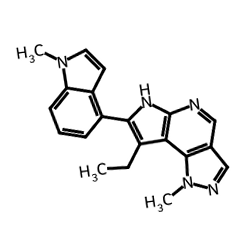 CCc1c(-c2cccc3c2ccn3C)[nH]c2ncc3cnn(C)c3c12